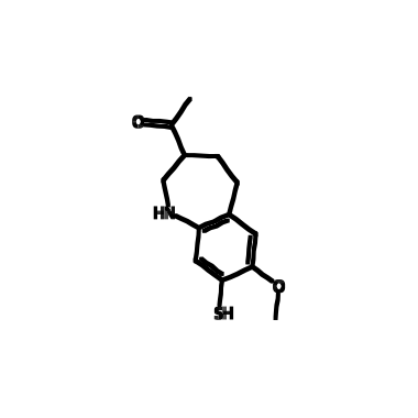 COc1cc2c(cc1S)NCC(C(C)=O)CC2